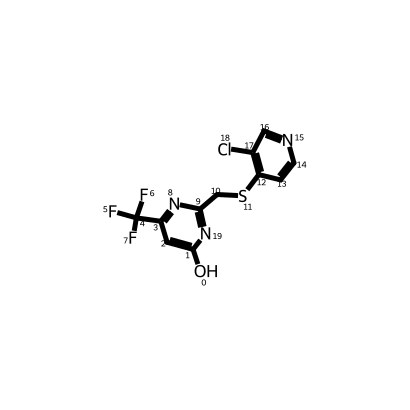 Oc1cc(C(F)(F)F)nc(CSc2ccncc2Cl)n1